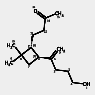 C=C(CCCO)[C@H]1CC(C)(C)[C@@H]1CCC(C)=O